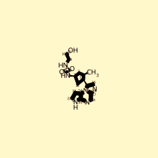 C[C@@H]1C[C@H](NS(=O)(=O)NCCO)C[C@@H]1c1cnc2cnc3[nH]ccc3n12